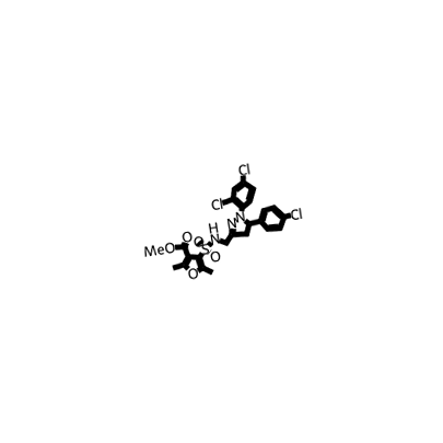 COC(=O)c1c(C)oc(C)c1S(=O)(=O)NCC1=NN(c2ccc(Cl)cc2Cl)C(c2ccc(Cl)cc2)C1